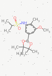 COc1cc(B2OC(C)(C)C(C)(C)O2)cc(NS(=O)(=O)C(C)C)c1C